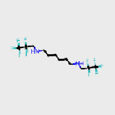 FC(F)(F)C(F)(F)CNCCCCCCNCC(F)(F)C(F)(F)F